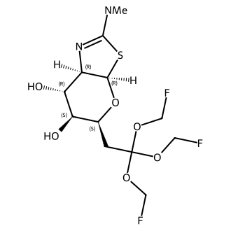 CNC1=N[C@@H]2[C@@H](O)[C@H](O)[C@H](CC(OCF)(OCF)OCF)O[C@@H]2S1